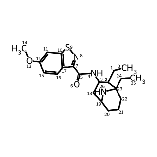 CCC1C(NC(=O)c2nsc3cc(OC)ccc23)CC2CCCC1(CC)N2